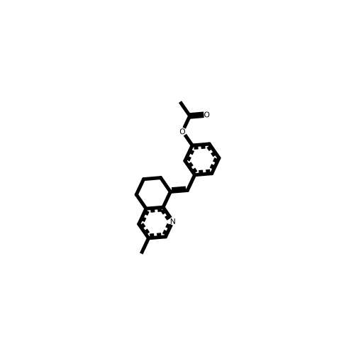 CC(=O)Oc1cccc(/C=C2\CCCc3cc(C)cnc32)c1